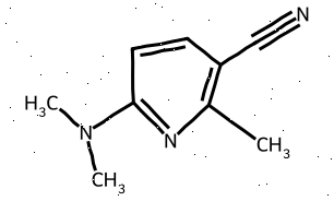 Cc1nc(N(C)C)ccc1C#N